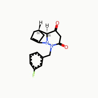 O=C1CC(=O)N(Cc2cccc(F)c2)N2C3=CC[C@@H](C3)[C@@H]12